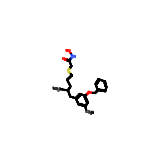 O=C(CSCCCC(Cc1cc(OCc2ccccc2)cc(C(=O)O)c1)C(=O)O)NO